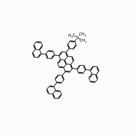 C[Si](C)(C)c1ccc(-c2cc(-c3ccc(-c4cccc5ccccc45)cc3)c3ccc4c(-c5ccc(-c6cccc7ccccc67)cc5)cc(-c5ccc(-c6cccc7ccccc67)cc5)c5ccc2c3c45)cc1